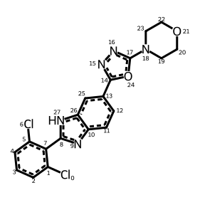 Clc1cccc(Cl)c1-c1nc2ccc(-c3nnc(N4CCOCC4)o3)cc2[nH]1